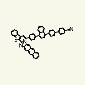 N#Cc1ccc(-c2ccc(-c3ccc(-c4ccc(-c5cc6c7ccccc7sc6c6nc7cc8cc9ccccc9cc8cc7n56)cc4)c4ccccc34)cc2)cc1